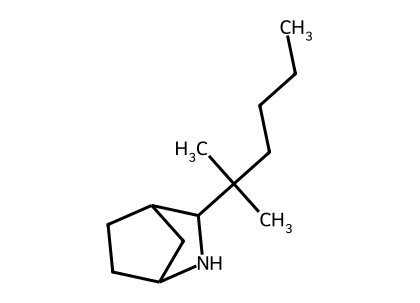 CCCCC(C)(C)C1NC2CCC1C2